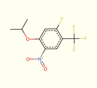 CC(C)Oc1cc(F)c(C(F)(F)F)cc1[N+](=O)[O-]